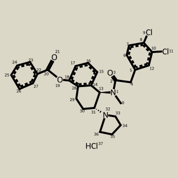 CN(C(=O)Cc1ccc(Cl)c(Cl)c1)[C@@H]1c2cccc(OC(=O)c3ccccc3)c2CC[C@H]1N1CCCC1.Cl